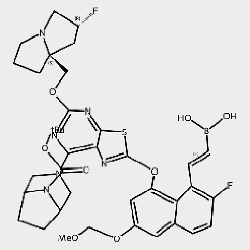 COCOc1cc(Oc2nc3c(N4CC5CCC(C4)N5C(=O)OC(C)(C)C)nc(OC[C@@]45CCCN4C[C@H](F)C5)nc3s2)c2c(/C=C/B(O)O)c(F)ccc2c1